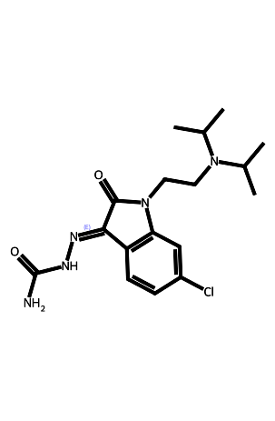 CC(C)N(CCN1C(=O)/C(=N/NC(N)=O)c2ccc(Cl)cc21)C(C)C